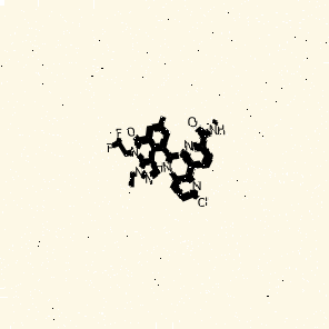 CCn1ncc2c3c(C(C)Nc4ccc(Cl)nc4-c4ccc(C(=O)NC)nc4)cc(C)cc3c(=O)n(CC(F)F)c21